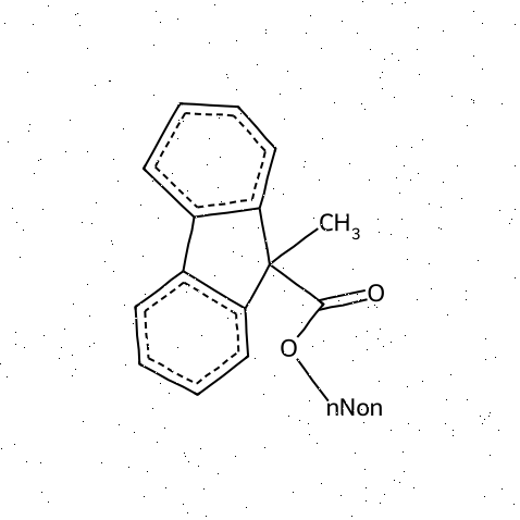 CCCCCCCCCOC(=O)C1(C)c2ccccc2-c2ccccc21